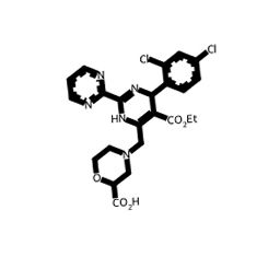 CCOC(=O)C1=C(CN2CCOC(C(=O)O)C2)NC(c2ncccn2)=NC1c1ccc(Cl)cc1Cl